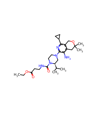 CCOC(=O)CCNC(=O)N1CCN(c2nc(C3CC3)c3c(c2N)CC(C)(C)OC3)C[C@H]1C(C)C